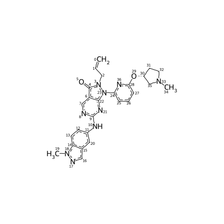 C=CCn1c(=O)c2cnc(Nc3ccc4c(cnn4C)c3)nc2n1-c1cccc(O[C@@H]2CCN(C)C2)n1